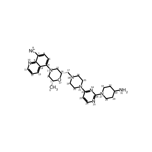 C[C@@H]1CN(c2ccc(C#N)c3ncccc23)C[C@H](CN2CCN(c3ccnc(N4CCC(N)CC4)n3)CC2)O1